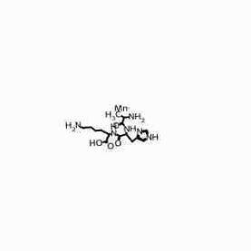 CC(N)C(=O)NC(Cc1c[nH]cn1)C(=O)NC(CCCCN)C(=O)O.[Mn]